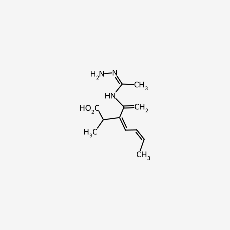 C=C(N/C(C)=N\N)/C(=C\C=C/C)C(C)C(=O)O